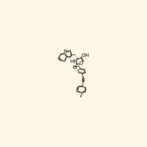 C=C(O)[C@@H](Cc1cnc2ccccc2c1)NS(=O)(=O)c1ccc(C#Cc2ccc(C)cc2)s1